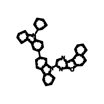 c1ccc(-n2c3ccccc3c3cc(-c4ccc5c6ccccc6n(-c6cnc7c(n6)oc6ccc8ccccc8c67)c5c4)ccc32)cc1